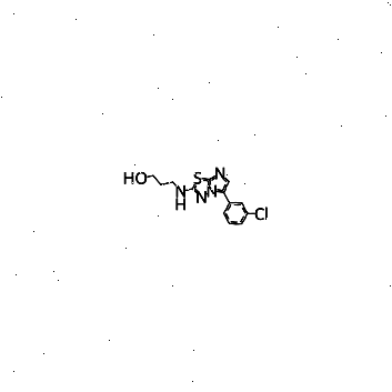 OCCCNc1nn2c(-c3cccc(Cl)c3)cnc2s1